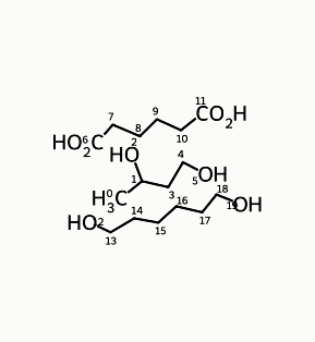 CC(O)CCO.O=C(O)CCCCC(=O)O.OCCCCCCO